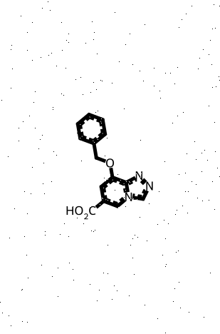 O=C(O)c1cc(OCc2ccccc2)c2nncn2c1